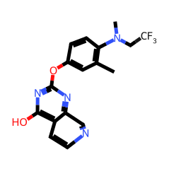 Cc1cc(Oc2nc(O)c3ccncc3n2)ccc1N(C)CC(F)(F)F